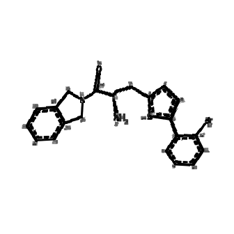 N[C@H](Cc1ccc(-c2ccccc2Br)s1)C(=O)N1Cc2ccccc2C1